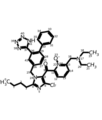 CCCCc1nc(Cl)c(C(=O)c2cccc(CN(CC)CC)[n+]2[O-])n1Cc1ccc(-c2ccccc2)c(-c2nnn[nH]2)c1